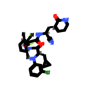 N#C[C@H](C[C@H]1CCCNC1=O)NC(=O)[C@H]1[C@H]2CC[C@H](CC2(F)F)N1C(=O)[C@H](CC1CC1)Nc1cccc(Cl)c1